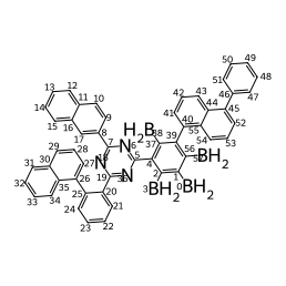 Bc1c(B)c(-c2nc(-c3ccc4ccccc4c3)nc(-c3ccccc3-c3cccc4ccccc34)n2)c(B)c(-c2cccc3c(-c4ccccc4)cccc23)c1B